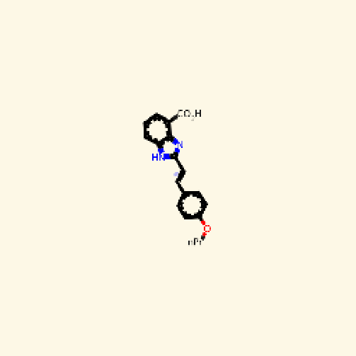 CCCOc1ccc(/C=C/c2nc3c(C(=O)O)cccc3[nH]2)cc1